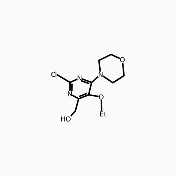 CCOc1c(CO)nc(Cl)nc1N1CCOCC1